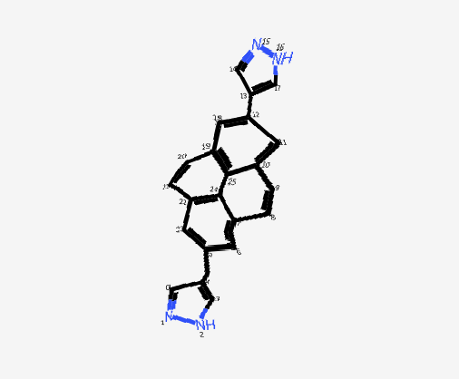 c1n[nH]cc1-c1cc2ccc3cc(-c4cn[nH]c4)cc4ccc(c1)c2c34